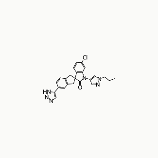 CCCn1cc(N2C(=O)C3(Cc4ccc(-c5cnn[nH]5)cc4C3)c3ccc(Cl)cc32)cn1